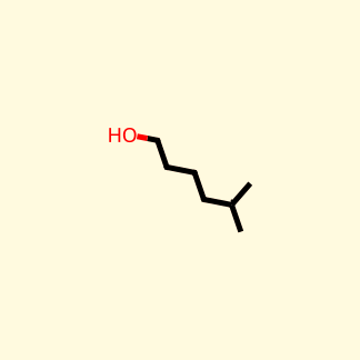 C[C](C)CCCCO